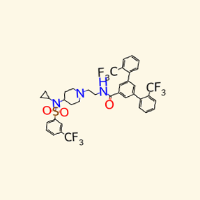 O=C(NCCN1CCC(N(C2CC2)S(=O)(=O)c2cccc(C(F)(F)F)c2)CC1)c1cc(-c2ccccc2C(F)(F)F)cc(-c2ccccc2C(F)(F)F)c1